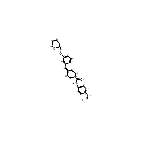 COc1ccc(NC(=O)N2CCC(=Cc3cccc(OCC4CCCCO4)c3)CC2)cn1